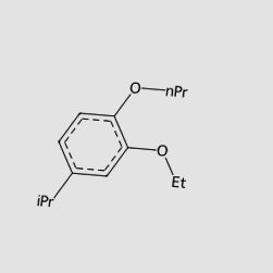 [CH2]C(C)c1ccc(OCCC)c(OCC)c1